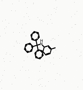 CC1=CC(NC(c2ccccc2)(c2ccccc2)c2ccccc2)CC=C1